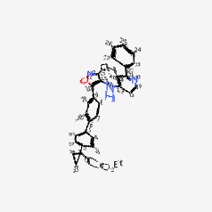 CCOC(=O)C1(c2ccc(-c3ccc(-c4onc(C)c4Nc4ccnc(-c5ccccc5)c4)cc3)cc2)CC1